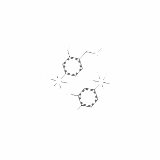 CCNCc1ccc(S(F)(F)(F)(F)F)cc1C.Cc1cc(S(F)(F)(F)(F)F)ccc1C=O